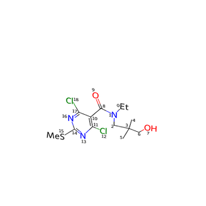 CCN(CC(C)(C)CO)C(=O)c1c(Cl)nc(SC)nc1Cl